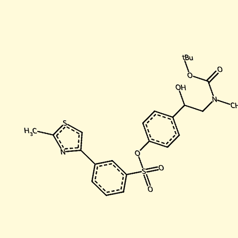 Cc1nc(-c2cccc(S(=O)(=O)Oc3ccc(C(O)CN(C)C(=O)OC(C)(C)C)cc3)c2)cs1